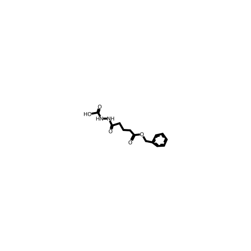 O=C(O)NNC(=O)CCCC(=O)OCc1ccccc1